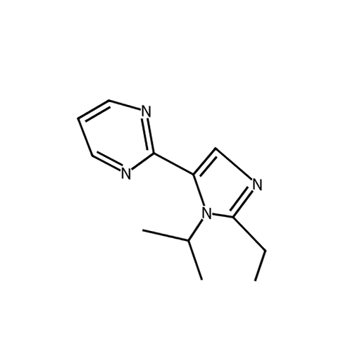 CCc1ncc(-c2ncccn2)n1C(C)C